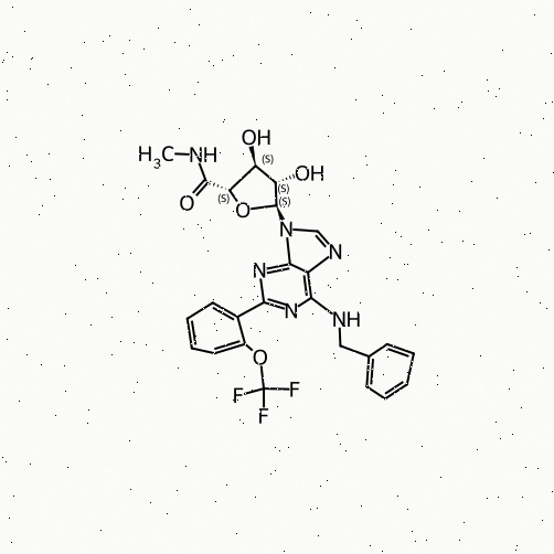 CNC(=O)[C@H]1O[C@H](n2cnc3c(NCc4ccccc4)nc(-c4ccccc4OC(F)(F)F)nc32)[C@@H](O)[C@@H]1O